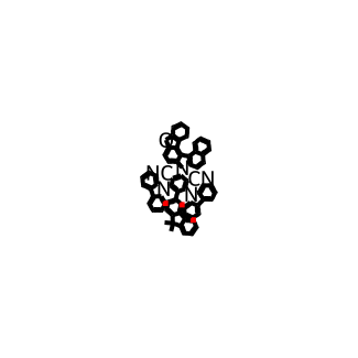 CC1(C)c2ccccc2-c2cc(-c3c(-n4c5ccccc5c5ccccc54)c(C#N)c(-n4c5ccc6ccccc6c5c5c6c7c(oc6ccc54)C=CCC7)c(C#N)c3-n3c4ccccc4c4ccccc43)ccc21